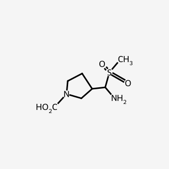 CS(=O)(=O)C(N)C1CCN(C(=O)O)C1